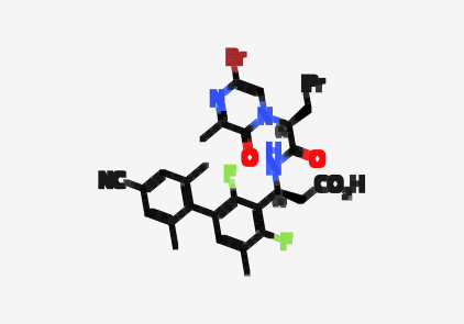 Cc1cc(-c2c(C)cc(C#N)cc2C)c(F)c([C@H](CC(=O)O)NC(=O)[C@H](CC(C)C)n2cc(Br)nc(C)c2=O)c1F